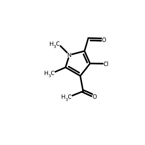 CC(=O)c1c(Cl)c(C=O)n(C)c1C